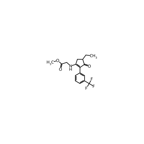 CCC1CC(NCC(=O)OC)=C(c2cccc(C(F)(F)F)c2)C1=O